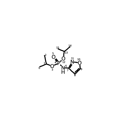 CC(C)OP(=O)(Nc1ccon1)OC(C)C